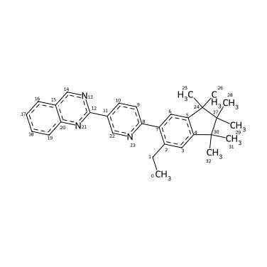 CCc1cc2c(cc1-c1ccc(-c3ncc4ccccc4n3)cn1)C(C)(C)C(C)(C)C2(C)C